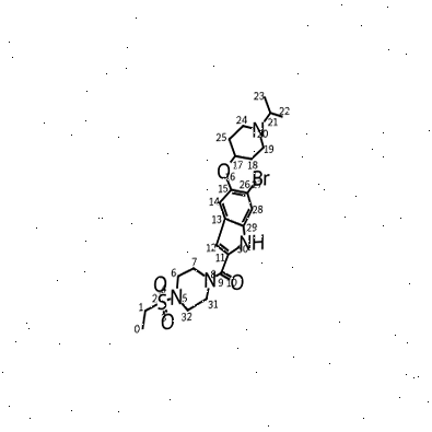 CCS(=O)(=O)N1CCN(C(=O)c2cc3cc(OC4CCN(C(C)C)CC4)c(Br)cc3[nH]2)CC1